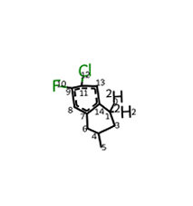 [2H]C1([2H])CC(C)Cc2cc(F)c(Cl)cc21